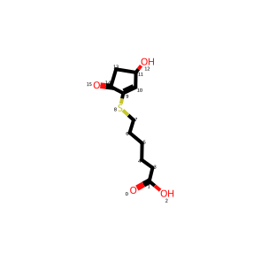 O=C(O)CCCCCSC1=CC(O)CC1=O